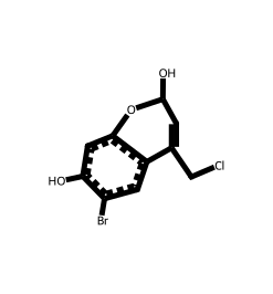 Oc1cc2c(cc1Br)C(CCl)=CC(O)O2